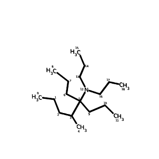 CCCC(C)C(CCC)(CCC)N(CCC)CCC